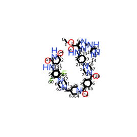 CCOC(=O)c1cnc(Nc2cnn(C)c2)nc1NC1CCC(N2CCN(C(=O)C3CCC(C(=O)N4CCC(CN5CCN(c6c(F)cc(NC7CCC(=O)NC7=O)cc6F)CC5)CC4)CC3)CC2)CC1